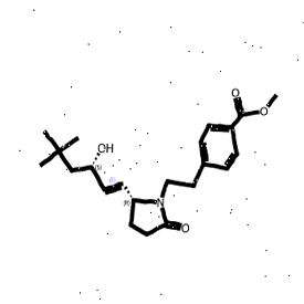 COC(=O)c1ccc(CCN2C(=O)CC[C@@H]2/C=C/[C@@H](O)CC(C)(C)C)cc1